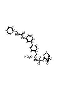 CC1(C)C2CCC1(CS(=O)(=O)N[C@@H](Cc1ccc(-c3cccc(NC(=O)NCc4ccccn4)c3)cc1)C(=O)O)C(=O)C2